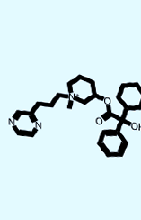 C[N+]1(CCCc2cnccn2)CCCC(OC(=O)C(O)(c2ccccc2)C2CCCCC2)C1